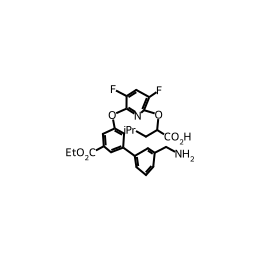 CCOC(=O)c1cc(Oc2nc(OC(CC(C)C)C(=O)O)c(F)cc2F)cc(-c2cccc(CN)c2)c1